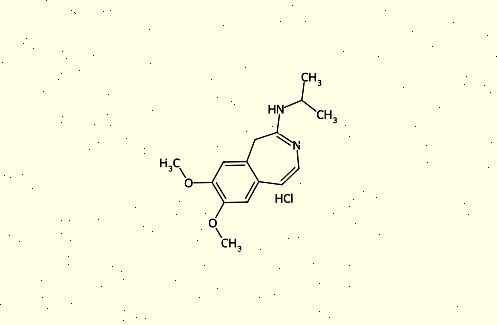 COc1cc2c(cc1OC)CC(NC(C)C)=NC=C2.Cl